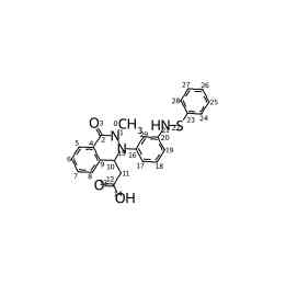 CN1C(=O)c2ccccc2C(CC(=O)O)N1c1cccc(NSc2ccccc2)c1